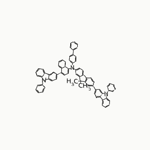 CC1(C)c2cc(-c3ccc4c5ccccc5n(-c5ccccc5)c4c3)ccc2-c2ccc(N(c3ccc(-c4ccccc4)cc3)c3ccc(-c4ccc5c(c4)c4ccccc4n5-c4ccccc4)c4ccccc34)cc21